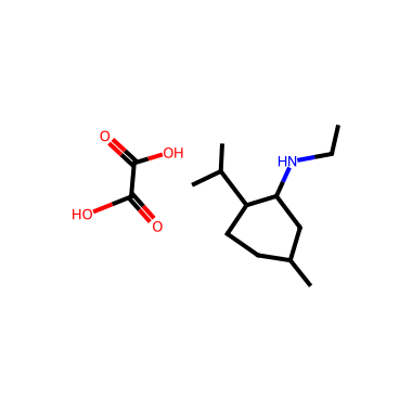 CCNC1CC(C)CCC1C(C)C.O=C(O)C(=O)O